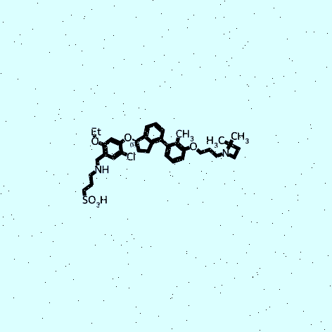 CCOc1cc(O[C@H]2CCc3c(-c4cccc(OCCCN5CCC5(C)C)c4C)cccc32)c(Cl)cc1CNCCCS(=O)(=O)O